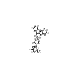 CCC1(C)OB(c2ccc(-c3cc4c5ccccc5n5c6ccccc6c(c3)c45)cc2)OC1(C)C